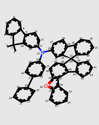 CC1(C)c2ccccc2-c2ccc(N(c3ccc(-c4ccccc4)cc3)c3ccc4c(c3)[C@@]3(c5ccccc5-4)c4ccccc4-c4c3ccc3oc5ccccc5c43)cc21